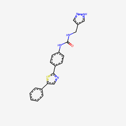 O=C(NCc1cn[nH]c1)Nc1ccc(-c2ncc(-c3ccccc3)s2)cc1